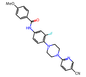 COc1ccc(C(=O)Nc2ccc(N3CCN(c4ccc(C#N)cn4)CC3)c(F)c2)cc1